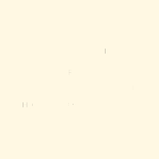 CCCCOc1ccc(-c2cc(F)ccc2-c2cc(F)ccc2F)cc1